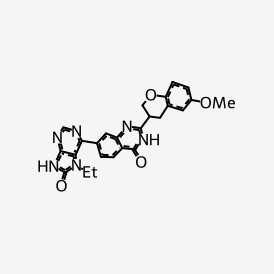 CCn1c(=O)[nH]c2ncnc(-c3ccc4c(=O)[nH]c(C5COc6ccc(OC)cc6C5)nc4c3)c21